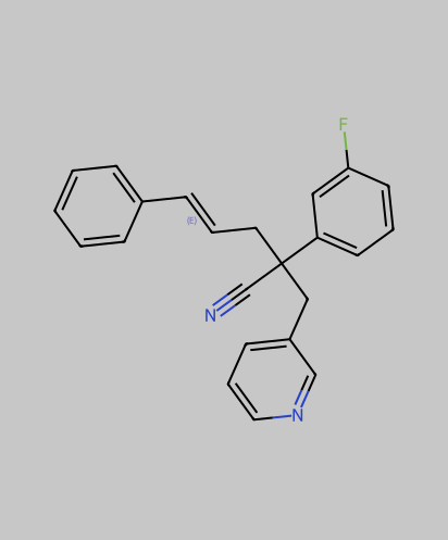 N#CC(C/C=C/c1ccccc1)(Cc1cccnc1)c1cccc(F)c1